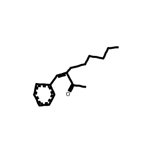 CCCCCCC(=Cc1ccccc1)C(C)=O